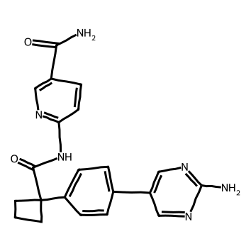 NC(=O)c1ccc(NC(=O)C2(c3ccc(-c4cnc(N)nc4)cc3)CCC2)nc1